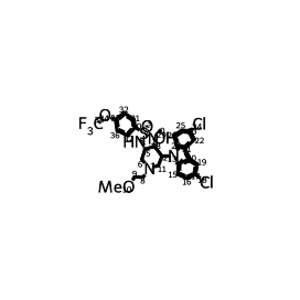 CN=S(=O)(NC1CN(CCOC)CC(n2c3ccc(Cl)cc3c3cc(Cl)ccc32)C1O)c1ccc(OC(F)(F)F)cc1